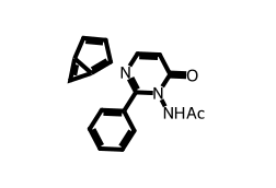 CC(=O)Nn1c(-c2ccccc2)nccc1=O.c1cc2cc-2c1